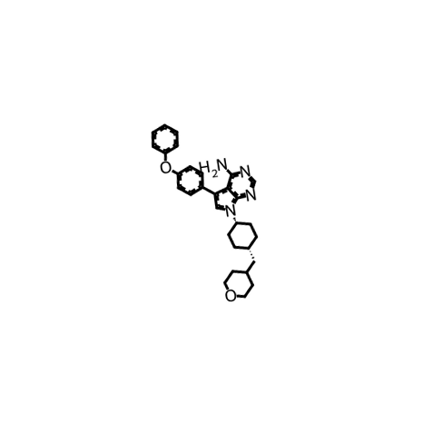 Nc1ncnc2c1c(-c1ccc(Oc3ccccc3)cc1)cn2[C@H]1CC[C@@H](CC2CCOCC2)CC1